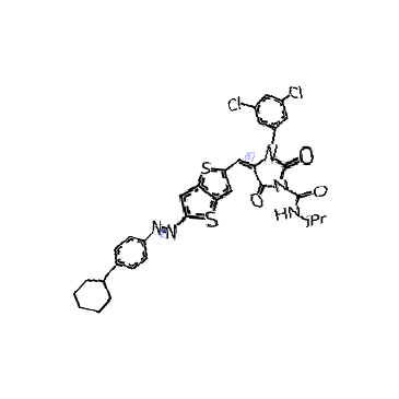 CC(C)NC(=O)N1C(=O)/C(=C\c2cc3sc(/N=N/c4ccc(C5CCCCC5)cc4)cc3s2)N(c2cc(Cl)cc(Cl)c2)C1=O